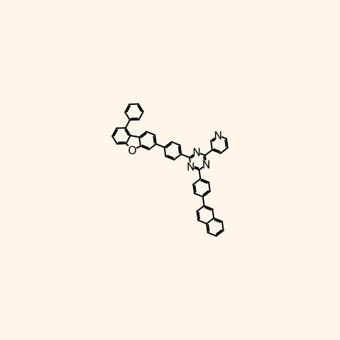 c1ccc(-c2cccc3oc4cc(-c5ccc(-c6nc(-c7ccc(-c8ccc9ccccc9c8)cc7)nc(-c7cccnc7)n6)cc5)ccc4c23)cc1